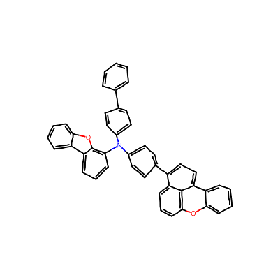 c1ccc(-c2ccc(N(c3ccc(-c4ccc5c6c(cccc46)Oc4ccccc4-5)cc3)c3cccc4c3oc3ccccc34)cc2)cc1